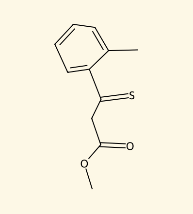 COC(=O)CC(=S)c1ccccc1C